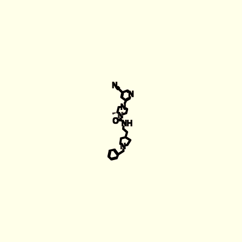 C[C@@H]1CN(c2cncc(C#N)c2)CCN1C(=O)NCCC1CCN(Cc2ccccc2)CC1